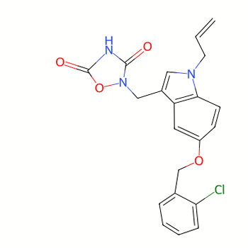 C=CCn1cc(Cn2oc(=O)[nH]c2=O)c2cc(OCc3ccccc3Cl)ccc21